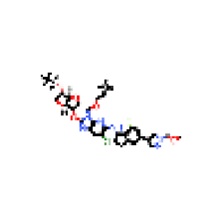 COCn1cc(-c2cc(F)c3c(c2)CC[C@@H]3Nc2nc3c(cc2Cl)nc(O[C@@H]2CO[C@@H]4C(O[Si](C)(C)C(C)(C)C)CO[C@@H]42)n3COCC[Si](C)(C)C)cn1